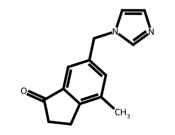 Cc1cc(Cn2ccnc2)cc2c1CCC2=O